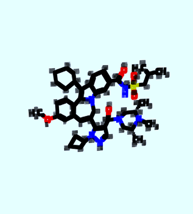 COc1ccc2c(c1)C=C(c1c(C(=O)N3C[C@@H](C)N(C)[C@@H](C)C3)cnn1C1CCC1)Cn1c-2c(C2CCCCC2)c2ccc(C(=O)NS(=O)(=O)CC(C)C)cc21